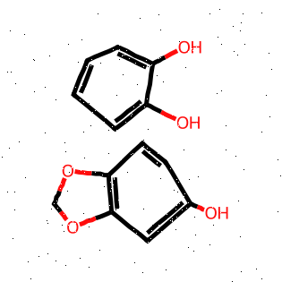 Oc1ccc2c(c1)OCO2.Oc1ccccc1O